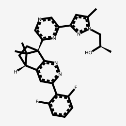 Cc1cc(-c2cncc([C@@]34CC[C@@H](c5cc(-c6c(F)cccc6F)nnc53)C4(C)C)n2)nn1C[C@@H](C)O